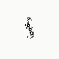 CCCCOc1ccc(-c2ccc(C3CCC(OC)OC3)cc2F)c(F)c1F